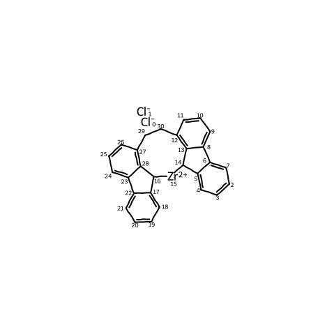 [Cl-].[Cl-].c1ccc2c(c1)-c1cccc3c1[CH]2[Zr+2][CH]1c2ccccc2-c2cccc(c21)CC3